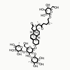 C[C@H](CCC(=O)[C@@H](C)[C@H]1C(=O)C[C@H]2[C@@H]3CC=C4C[C@@H](O[C@@H]5O[C@H](CO)[C@@H](O[C@@H]6O[C@@H](C)[C@H](O)[C@@H](O)[C@H]6O)[C@H](O)[C@H]5O[C@@H]5O[C@@H](C)[C@H](O)[C@@H](O)[C@H]5O)CC[C@]4(C)[C@H]3CC[C@]12C)CO[C@@H]1O[C@H](CO)[C@@H](O)[C@H](O)[C@H]1O